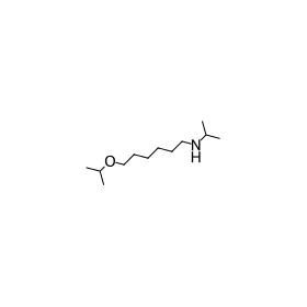 CC(C)NCCCCCCOC(C)C